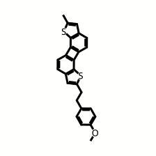 COc1ccc(CCc2cc3ccc4c(c3s2)-c2ccc3cc(C)sc3c2-4)cc1